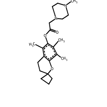 Cc1c(C)c2c(c(C)c1OC(=O)CN1CCN(C)CC1)CCC1(CCC1)O2